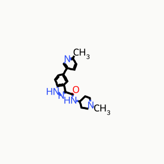 Cc1ccc(-c2ccc3[nH]nc(C(=O)NC4CCN(C)CC4)c3c2)cn1